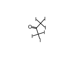 O=C(C(I)(I)I)C(I)(I)I